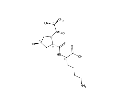 C[C@H](N)C(=O)N1C[C@H](O)C[C@H]1C(=O)N[C@@H](CCCCN)C(=O)O